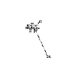 CCCCCCCCCCCCCCCCCCCCCCCCCC(=O)N[C@@H](COC1OC(CO)C(O)C(O)C1O)[C@H](O)[C@H](O)CCCCc1ccccc1